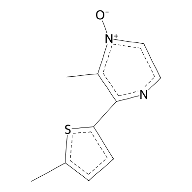 Cc1ccc(-c2ncc[n+]([O-])c2C)s1